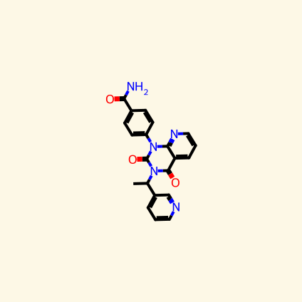 CC(c1cccnc1)n1c(=O)c2cccnc2n(-c2ccc(C(N)=O)cc2)c1=O